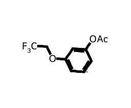 CC(=O)Oc1c[c]cc(OCC(F)(F)F)c1